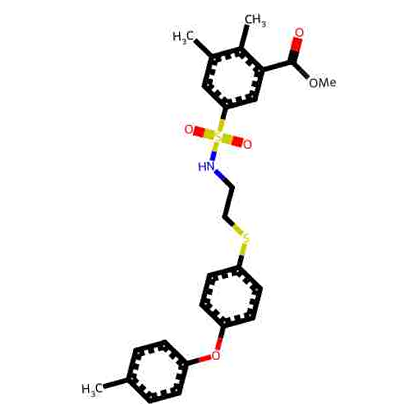 COC(=O)c1cc(S(=O)(=O)NCCSc2ccc(Oc3ccc(C)cc3)cc2)cc(C)c1C